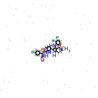 CN1CCc2[nH]c(-c3ccnc(NC(=O)C(NC=O)c4ccc(F)cc4)c3)c(Nc3cccc(F)c3F)c2C1=O